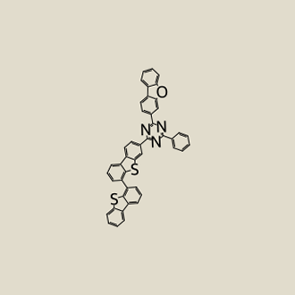 c1ccc(-c2nc(-c3ccc4c(c3)oc3ccccc34)nc(-c3ccc4c(c3)sc3c(-c5cccc6c5sc5ccccc56)cccc34)n2)cc1